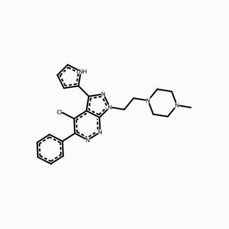 CN1CCN(CCn2nc(-c3ccc[nH]3)c3c(Cl)c(-c4ccccc4)nnc32)CC1